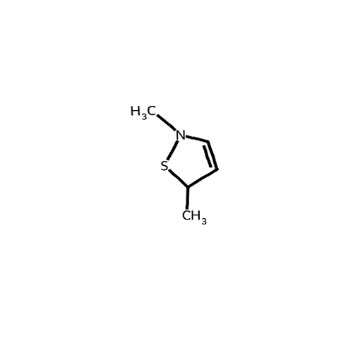 CC1C=CN(C)S1